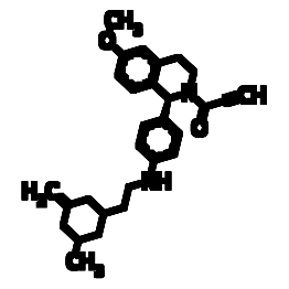 C#CC(=O)N1CCc2cc(OC)ccc2[C@@H]1c1ccc(NCCC2CC(=C)CC(C)C2)cc1